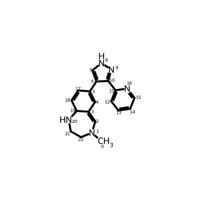 CN1C=C2C=C(c3c[nH]nc3-c3ccccn3)C=CC2NCC1